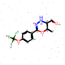 CC1OC(c2ccc(OC(F)(F)F)cc2)=NNC1C=O